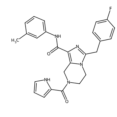 Cc1cccc(NC(=O)c2nc(Cc3ccc(F)cc3)n3c2CN(C(=O)c2ccc[nH]2)CC3)c1